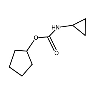 O=C(NC1CC1)OC1CCCC1